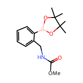 COC(=O)NCc1ccccc1B1OC(C)(C)C(C)(C)O1